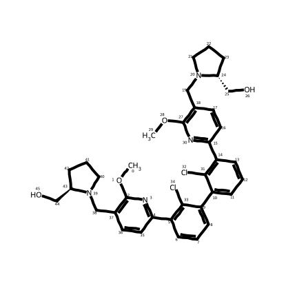 COc1nc(-c2cccc(-c3cccc(-c4ccc(CN5CCC[C@@H]5CO)c(OC)n4)c3Cl)c2Cl)ccc1CN1CCC[C@@H]1CO